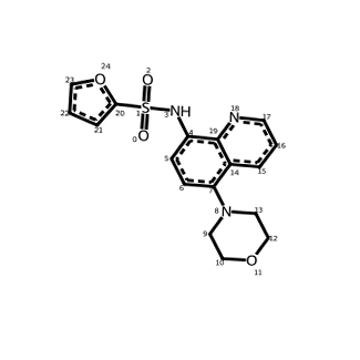 O=S(=O)(Nc1ccc(N2CCOCC2)c2cccnc12)c1ccco1